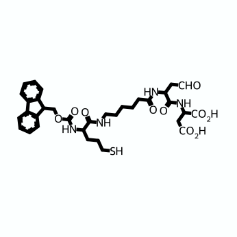 O=CCC(NC(=O)CCCCCNC(=O)C(CCCS)NC(=O)OCC1c2ccccc2-c2ccccc21)C(=O)NC(CC(=O)O)C(=O)O